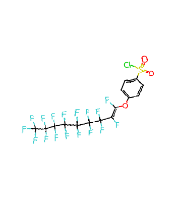 O=S(=O)(Cl)c1ccc(OC(F)=C(F)C(F)(F)C(F)(F)C(F)(F)C(F)(F)C(F)(F)C(F)(F)C(F)(F)F)cc1